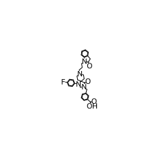 O=C(O)c1cccc(CN2CN(c3ccc(F)cc3)C3(CCN(CCCN4C(=O)Cc5ccccc54)CC3)C2=O)c1